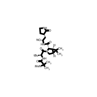 CNC(C)(C)C(=O)N[C@H](C(=O)N1C[C@H]2[C@@H]([C@H]1C(=O)N[C@H](C#N)C[C@@H]1CCNC1=O)C2(C)C)C(C)(C)C